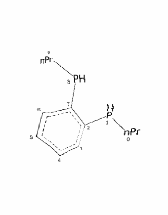 CCCPc1ccccc1PCCC